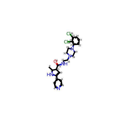 CC1NC(c2ccncc2)=CC1C(=O)NCCN1CCN(c2cccc(Cl)c2Cl)CC1